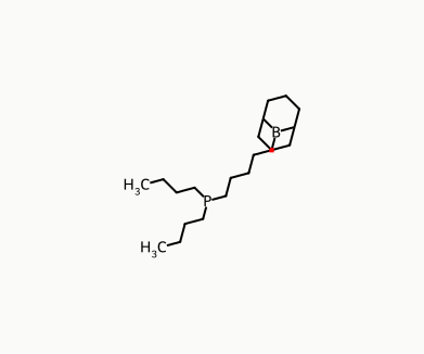 CCCCP(CCCC)CCCCCB1C2CCCC1CCC2